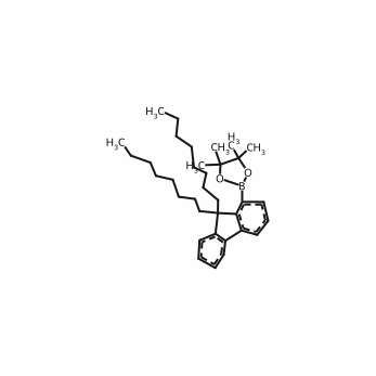 CCCCCCCCC1(CCCCCCCC)c2ccccc2-c2cccc(B3OC(C)(C)C(C)(C)O3)c21